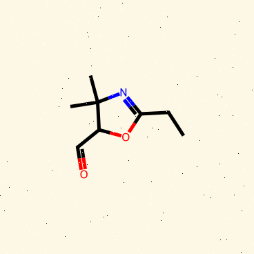 CCC1=NC(C)(C)C(C=O)O1